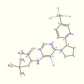 CC(C)(C)CC(Nc1ncnc(N2CCCC2c2ccc(C(F)(F)F)cn2)c1F)C(N)=O